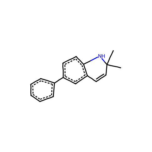 CC1(C)C=Cc2cc(-c3ccccc3)ccc2N1